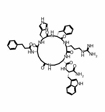 N=C(N)NCCC[C@@H]1NC(=O)[C@@H](Cc2ccccc2)NC(=O)[C@H](Cc2c[nH]cn2)NC(=O)[C@@H](NC(=O)CCc2ccccc2)CCC(=O)NCC[C@@H](C(=O)N[C@@H](Cc2c[nH]c3ccccc23)C(N)=O)NC1=O